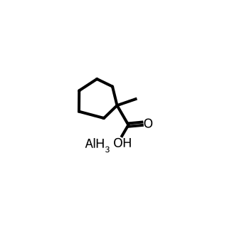 CC1(C(=O)O)CCCCC1.[AlH3]